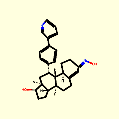 C[C@]12C[C@H](c3ccc(-c4cccnc4)cc3)[C@H]3[C@@H](CCC4=C/C(=N\O)CC[C@@H]43)[C@@H]1CC[C@H]2O